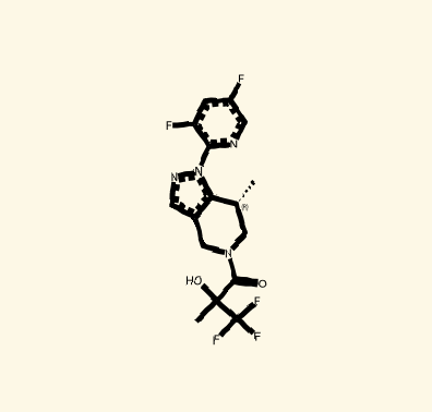 C[C@@H]1CN(C(=O)C(C)(O)C(F)(F)F)Cc2cnn(-c3ncc(F)cc3F)c21